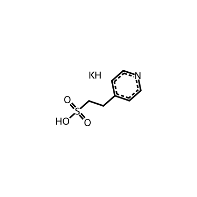 O=S(=O)(O)CCc1ccncc1.[KH]